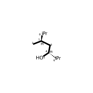 CC(C)[C@H](C)C[C@@H](O)C(C)C